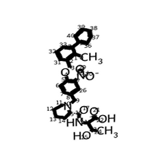 Cc1c(COc2ccc(CN3CCCC[C@H]3C(=O)NC(C(=O)O)C(C)O)cc2[N+](=O)[O-])cccc1-c1ccccc1